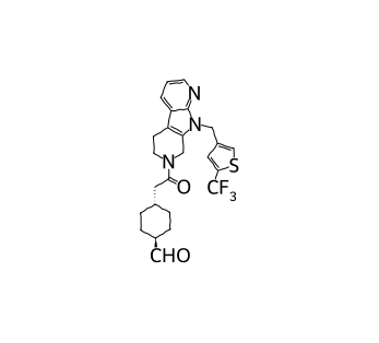 O=C[C@H]1CC[C@H](CC(=O)N2CCc3c(n(Cc4csc(C(F)(F)F)c4)c4ncccc34)C2)CC1